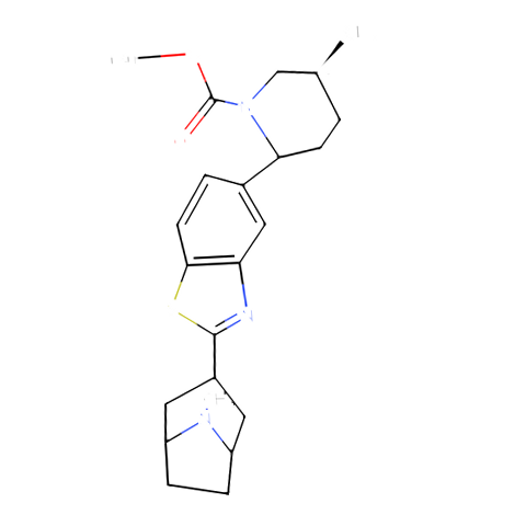 C[C@H]1CCC(c2ccc3sc(C4CC5CCC(C4)N5C)nc3c2)N(C(=O)OC(C)(C)C)C1